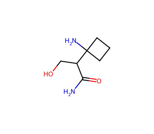 NC(=O)C(CO)C1(N)CCC1